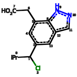 CC(C)C(Cl)c1cc(CC(=O)O)c2[nH]ncc2c1